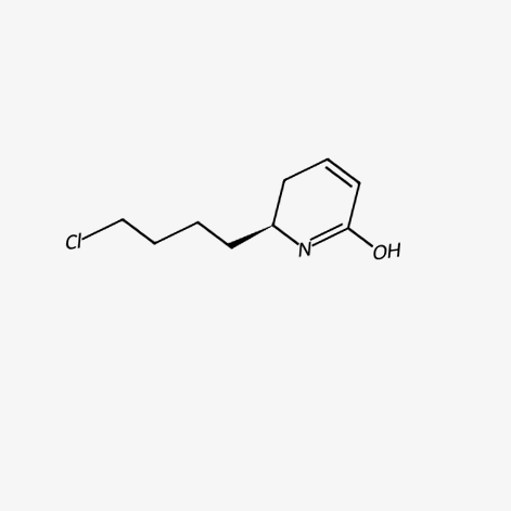 OC1=N[C@@H](CCCCCl)CC=C1